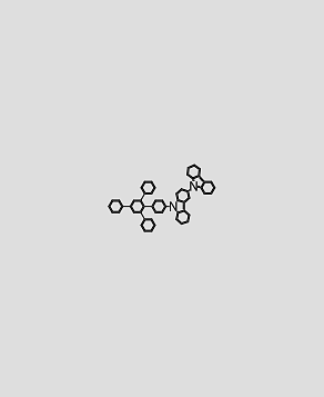 c1ccc(-c2cc(-c3ccccc3)c(-c3ccc(-n4c5ccccc5c5cc(-n6c7ccccc7c7ccccc76)ccc54)cc3)c(-c3ccccc3)c2)cc1